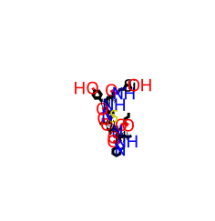 CCCC(=O)OCN(C(=O)[C@H](NC(=O)C1CCCCN1C)[C@@H](C)CC)[C@@H](C[C@H](OC(C)=O)c1nc(C(=O)N[C@H](Cc2ccc(O)cc2)C[C@@H](C)C(=O)NCCC[Si](C)(C)O)cs1)C(C)C